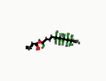 C=CC(=O)OC(F)CCCC(F)(F)C(F)(F)C(F)(F)C(F)(F)C(F)(F)C(F)(F)F